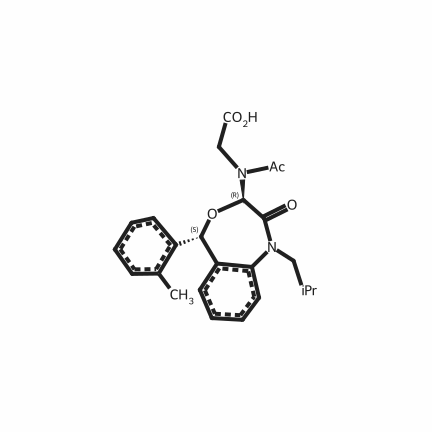 CC(=O)N(CC(=O)O)[C@@H]1O[C@@H](c2ccccc2C)c2ccccc2N(CC(C)C)C1=O